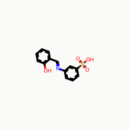 O=S(=O)(O)c1cccc(N=Cc2ccccc2O)c1